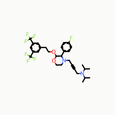 CC(C)N(CC#CCN1CCOC(OCCc2cc(C(F)(F)F)cc(C(F)(F)F)c2)C1c1ccc(F)cc1)C(C)C